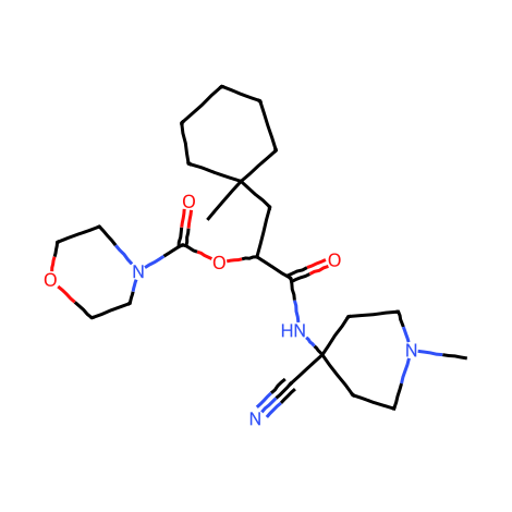 CN1CCC(C#N)(NC(=O)C(CC2(C)CCCCC2)OC(=O)N2CCOCC2)CC1